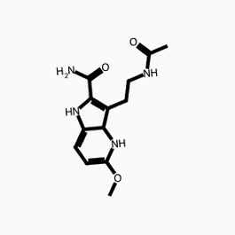 COC1=CC=C2NC(C(N)=O)=C(CCNC(C)=O)C2N1